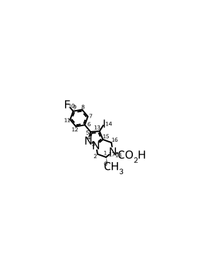 C[C@@H]1Cn2nc(-c3ccc(F)cc3)c(I)c2CN1C(=O)O